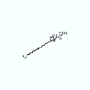 CCCCCC=CCC=CCCCCCCCC(=O)NC(CCC(=O)NCC)C(=O)O